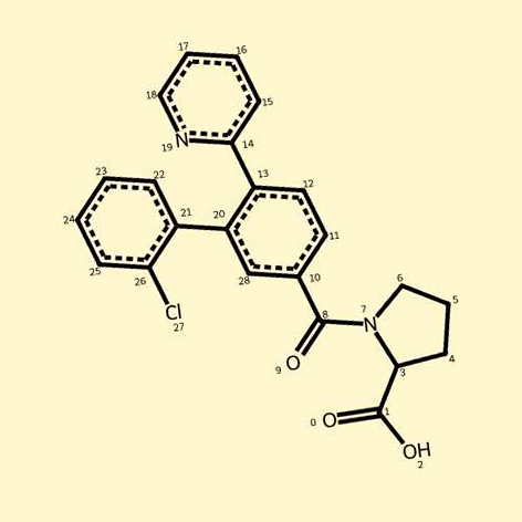 O=C(O)C1CCCN1C(=O)c1ccc(-c2ccccn2)c(-c2ccccc2Cl)c1